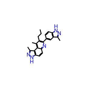 CCCc1c(-c2ccc3[nH]nc(C)c3c2)nc2ccc3[nH]nc(C)c3c2c1C